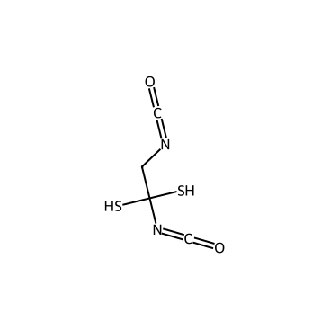 O=C=NCC(S)(S)N=C=O